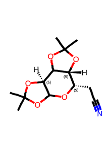 CC1(C)OC2O[C@@H](CC#N)[C@H]3OC(C)(C)OC3[C@@H]2O1